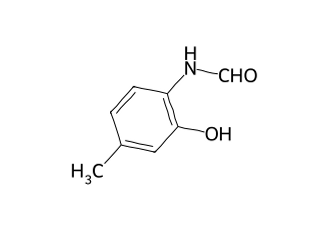 Cc1ccc(NC=O)c(O)c1